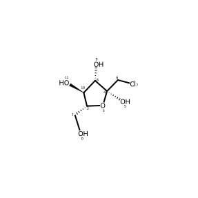 OC[C@H]1O[C@](O)(CCl)[C@@H](O)[C@@H]1O